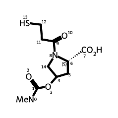 CNC(=O)OC1C[C@@H](C(=O)O)N(C(=O)CCS)C1